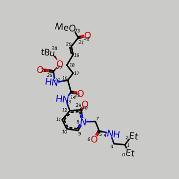 CCC(CC)CNC(=O)Cn1cccc(NC(=O)C(CCC=CC(=O)OC)NC(=O)OC(C)(C)C)c1=O